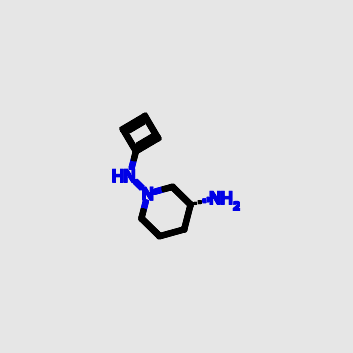 N[C@@H]1CCCN(NC2=CC=C2)C1